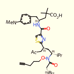 C#CCCCON(C(=O)C[C@@H](C)CC)[C@H](C[C@@H](CC(C)=O)c1nc(C(=O)N[C@@H](Cc2ccc(NC)cc2)CC(C)(C)C(=O)O)cs1)C(C)C